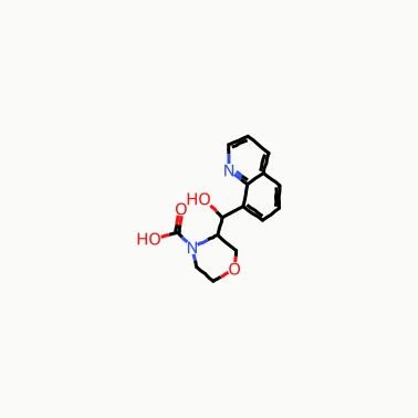 O=C(O)N1CCOCC1C(O)c1cccc2cccnc12